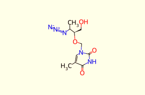 Cc1cn(CO[C@H](CO)C(C)N=[N+]=[N-])c(=O)[nH]c1=O